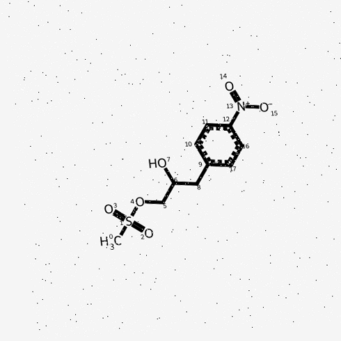 CS(=O)(=O)OCC(O)Cc1ccc([N+](=O)[O-])cc1